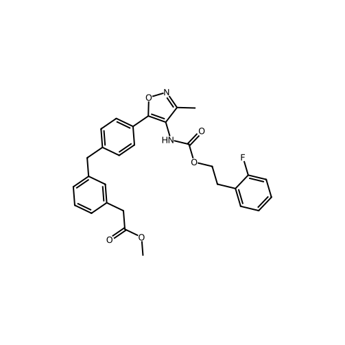 COC(=O)Cc1cccc(Cc2ccc(-c3onc(C)c3NC(=O)OCCc3ccccc3F)cc2)c1